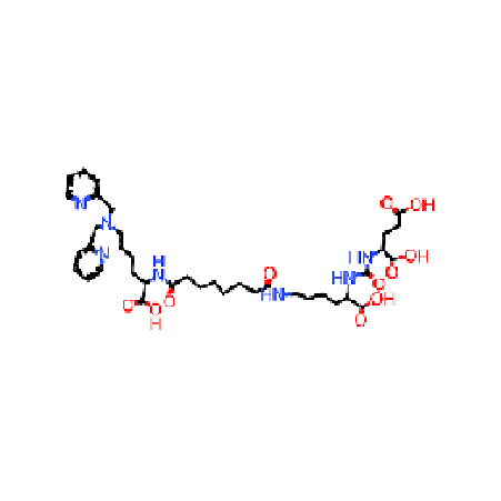 O=C(O)CCC(NC(=O)NC(CCCCNC(=O)CCCCCCC(=O)NC(CCCCN(Cc1ccccn1)Cc1ccccn1)C(=O)O)C(=O)O)C(=O)O